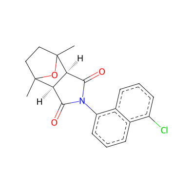 CC12CCC(C)(O1)[C@H]1C(=O)N(c3cccc4c(Cl)cccc34)C(=O)[C@H]12